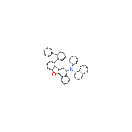 c1ccc(-c2ccccc2-c2cccc3oc4c5ccccc5c(N(c5ccccc5)c5cccc6ccccc56)cc4c23)cc1